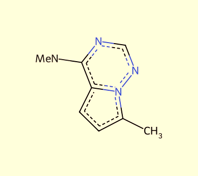 CNc1ncnn2c(C)ccc12